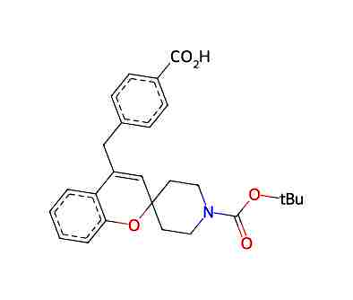 CC(C)(C)OC(=O)N1CCC2(C=C(Cc3ccc(C(=O)O)cc3)c3ccccc3O2)CC1